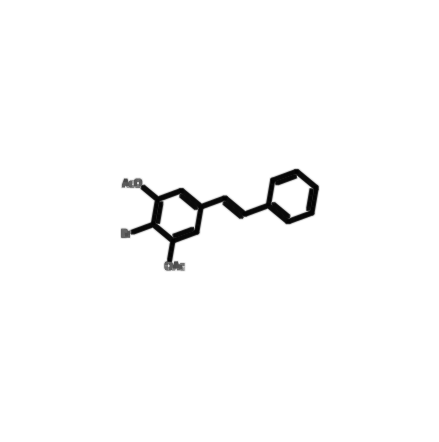 CC(=O)Oc1cc(/C=C/c2ccccc2)cc(OC(C)=O)c1Br